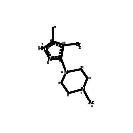 CC(=O)N1CCN(c2n[nH]c(C)c2Br)CC1